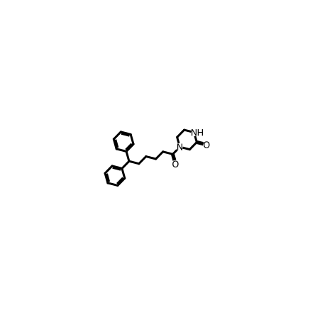 O=C1CN(C(=O)CCCCC(c2ccccc2)c2ccccc2)CCN1